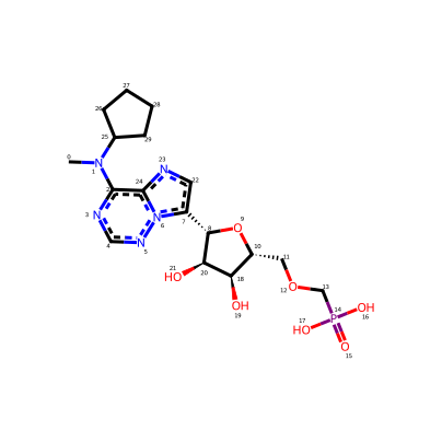 CN(c1ncnn2c([C@@H]3O[C@H](COCP(=O)(O)O)[C@@H](O)[C@H]3O)cnc12)C1CCCC1